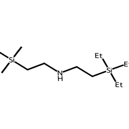 C=C[Si](C)(C)CCNCC[Si](CC)(CC)CC